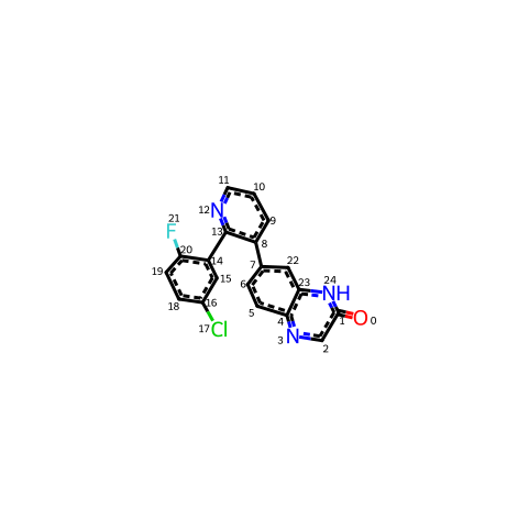 O=c1cnc2ccc(-c3cccnc3-c3cc(Cl)ccc3F)cc2[nH]1